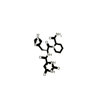 NC(=O)C1CCCCN1C(=O)[C@H](Cc1c[nH]cn1)NC(=O)c1cc(=O)[nH]c(=O)[nH]1